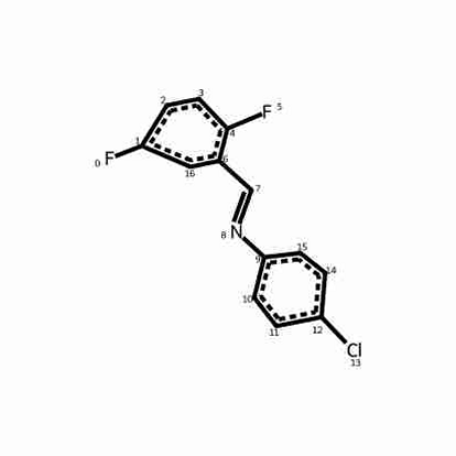 Fc1ccc(F)c(/C=N/c2ccc(Cl)cc2)c1